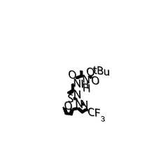 CC(NC(=O)OC(C)(C)C)C(=O)NCc1csc(-n2nc(C(F)(F)F)cc2-c2ccco2)n1